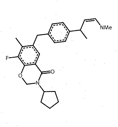 CN/C=C\C(C)c1ccc(Cc2cc3c(c(F)c2C)OCN(C2CCCC2)C3=O)cc1